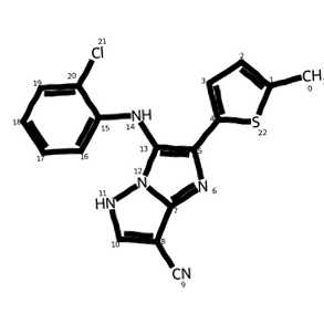 Cc1ccc(-c2nc3c(C#N)c[nH]n3c2Nc2ccccc2Cl)s1